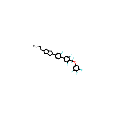 CCCC1CC2CC(c3ccc(-c4cc(F)c(C(F)(F)Oc5cc(F)c(F)c(F)c5)c(F)c4)c(F)c3)CC2C1